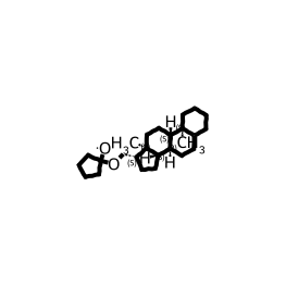 C[C@]12CC[C@H]3[C@@H](CCC4CCCC[C@@]43C)[C@@H]1CC[C@@H]2COC1([O])CCCC1